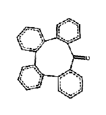 O=C1c2ccccc2-c2ccccc2-c2ccccc2-c2ccccc21